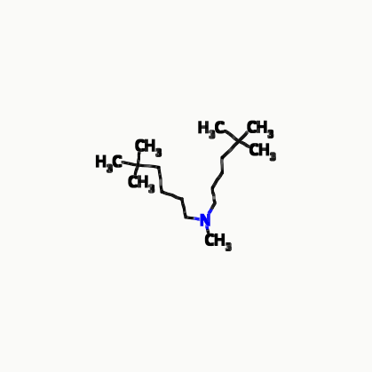 CN(CCCCC(C)(C)C)CCCCC(C)(C)C